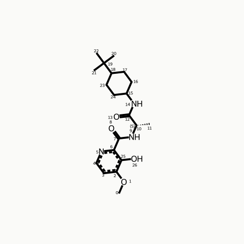 COc1ccnc(C(=O)N[C@@H](C)C(=O)NC2CCC(C(C)(C)C)CC2)c1O